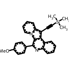 COc1ccc(-c2nc3ccccc3c3c(C#C[Si](C)(C)C)c4ccccn4c23)cc1